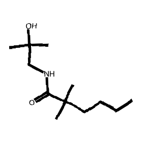 CCCCC(C)(C)C(=O)NCC(C)(C)O